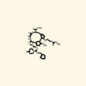 CCCOc1ccc2cc1-c1cc(ccc1OCCNC(=O)OC(C)(C)C)C[C@@H](C(=O)OC)NC(=O)[C@H](C)NC(=O)[C@H]2N(C)C(=O)[C@H]1CC(=O)CCN1C(=O)OCc1ccccc1